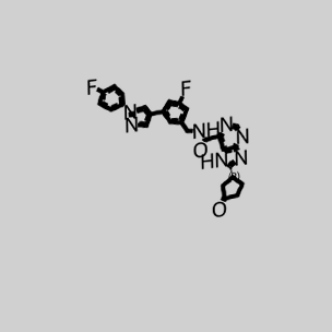 O=C1CC[C@@H](c2nc3ncnc(C(=O)NCc4cc(F)cc(-c5cnn(-c6ccc(F)cc6)c5)c4)c3[nH]2)C1